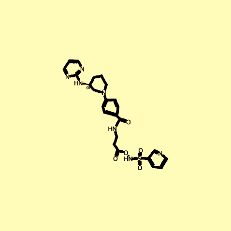 O=C(CCNC(=O)c1ccc(N2CCC[C@H](Nc3ncccn3)C2)cc1)ONS(=O)(=O)c1cccnc1